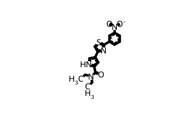 CCN(CC)C(=O)c1cc(-c2csc(-c3cccc([N+](=O)[O-])c3)n2)c[nH]1